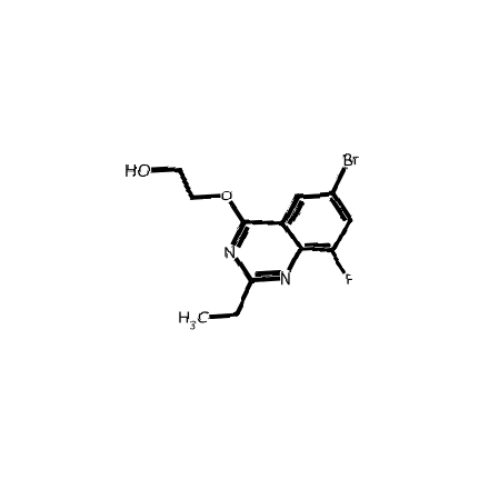 CCc1nc(OCCO)c2cc(Br)cc(F)c2n1